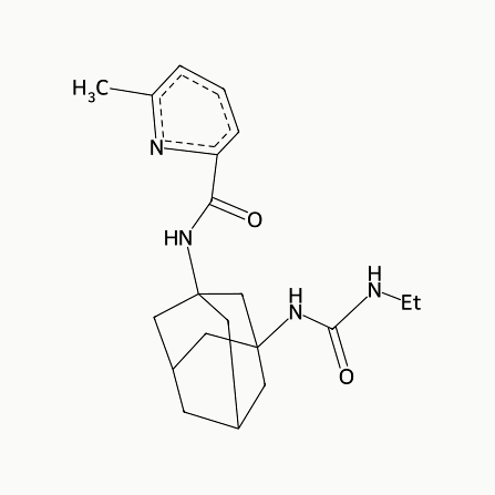 CCNC(=O)NC12CC3CC(C1)CC(NC(=O)c1cccc(C)n1)(C3)C2